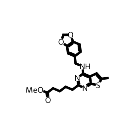 COC(=O)CCCCc1nc(NCc2ccc3c(c2)OCO3)c2cc(C)sc2n1